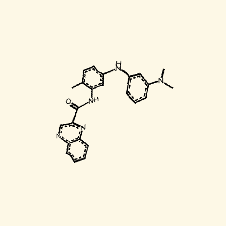 Cc1ccc(Nc2cccc(N(C)C)c2)cc1NC(=O)c1cnc2ccccc2n1